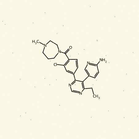 CCc1ncnc(-c2ccc(C(=O)N3CCCN(C)CC3)c(Cl)c2)c1-c1ccc(N)nc1